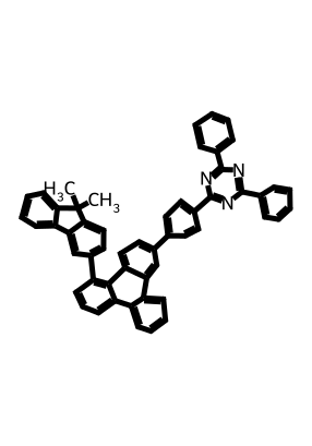 CC1(C)c2ccccc2-c2cc(-c3cccc4c5ccccc5c5cc(-c6ccc(-c7nc(-c8ccccc8)nc(-c8ccccc8)n7)cc6)ccc5c34)ccc21